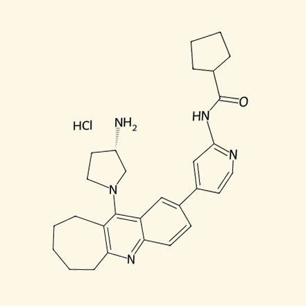 Cl.N[C@H]1CCN(c2c3c(nc4ccc(-c5ccnc(NC(=O)C6CCCC6)c5)cc24)CCCCC3)C1